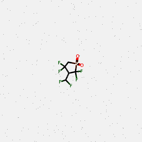 O=S1(=O)CC(F)(F)C(C(F)F)C1(F)F